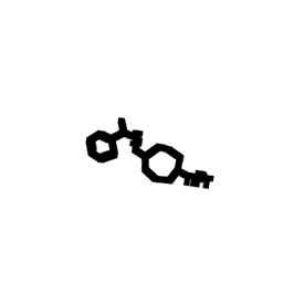 CCCC1CCCC(CSC(C)c2ccccc2)CCC1